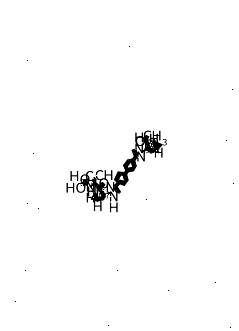 CC(=O)N1[C@@H]2C[C@@H]2C[C@H]1c1nc(-c2ccc(-c3ccc(-c4c[nH]c([C@@H]5C[C@H]6C[C@H]6N5C(=O)[C@@H](NC(=O)O)C(C)C)n4)cc3)cc2)c[nH]1